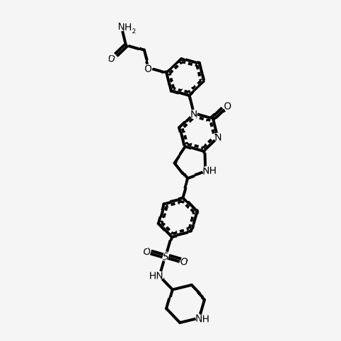 NC(=O)COc1cccc(-n2cc3c(nc2=O)NC(c2ccc(S(=O)(=O)NC4CCNCC4)cc2)C3)c1